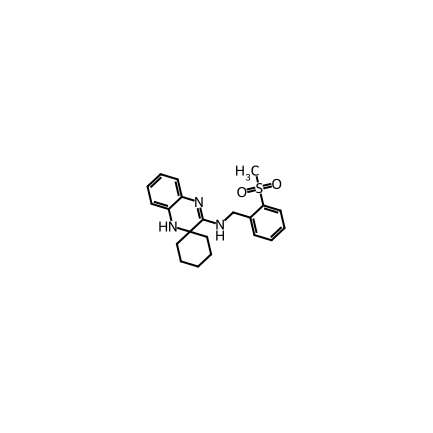 CS(=O)(=O)c1ccccc1CNC1=Nc2ccccc2NC12CCCCC2